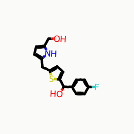 OCc1ccc(Cc2ccc(C(O)c3ccc(F)cc3)s2)[nH]1